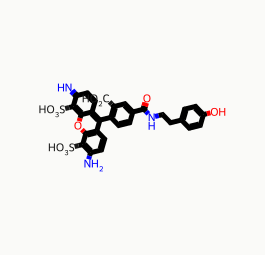 N=c1ccc2c(-c3ccc(C(=O)NCCc4ccc(O)cc4)cc3C(=O)O)c3ccc(N)c(S(=O)(=O)O)c3oc-2c1S(=O)(=O)O